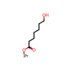 CC(C)OC(=O)CCCCCCO